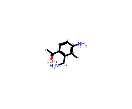 CC(=O)c1ccc(N)c(C)c1CN